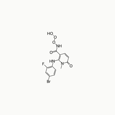 Cn1c(Nc2ccc(Br)cc2F)c(C(=O)NOOO)ccc1=O